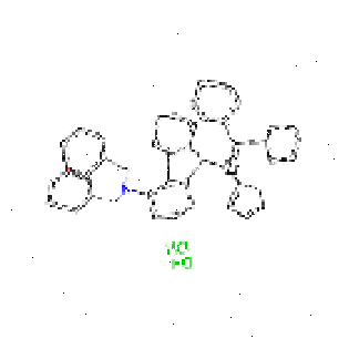 C1=CC[C]([Zr](=[C](c2ccccc2)c2ccccc2)[CH]2c3ccccc3-c3c2cccc3N(Cc2ccccc2)Cc2ccccc2)=C1.Cl.Cl